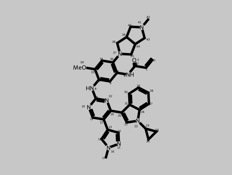 C=CC(=O)Nc1cc(Nc2ncc(-c3cnn(C)c3)c(-c3cn(C4CC4)c4ccccc34)n2)c(OC)cc1N1CC2CN(C)CC2C1